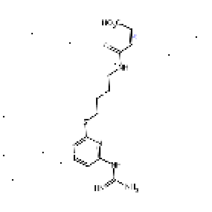 N=C(N)Nc1cccc(SCCCCNC(=O)/C=C\C(=O)O)n1